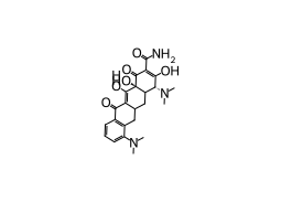 CN(C)c1cccc2c1CC1CC3[C@@H](N(C)C)C(O)=C(C(N)=O)C(=O)[C@@]3(O)C(O)=C1C2=O